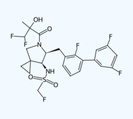 CC(O)(C(=O)N1CC2(CC2)[C@H](NS(=O)(=O)CF)[C@@H]1Cc1cccc(-c2cc(F)cc(F)c2)c1F)C(F)F